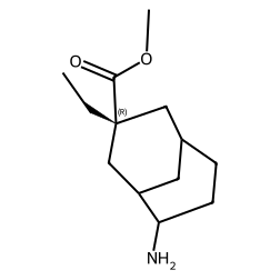 CC[C@@]1(C(=O)OC)CC2CCC(N)C(C2)C1